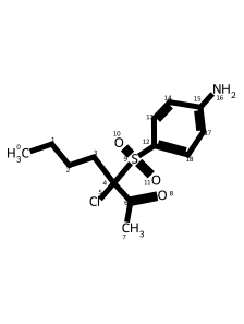 CCCCC(Cl)(C(C)=O)S(=O)(=O)c1ccc(N)cc1